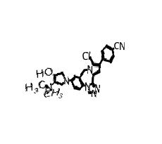 CN(C)[C@@H]1CN(c2ccc3c(c2)Cn2c(cc(-c4ccc(C#N)cc4)c2Cl)-c2nncn2-3)C[C@H]1O